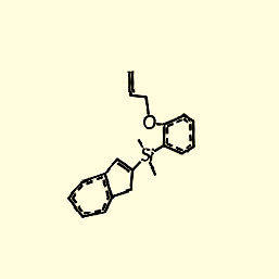 C=CCOc1ccccc1[Si](C)(C)C1=Cc2ccccc2C1